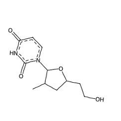 CC1CC(CCO)OC1n1ccc(=O)[nH]c1=O